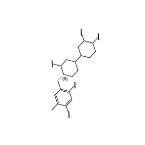 Cc1cc(C[C@H]2CCC(C3CCC(I)C(I)C3)CC2I)c(I)cc1I